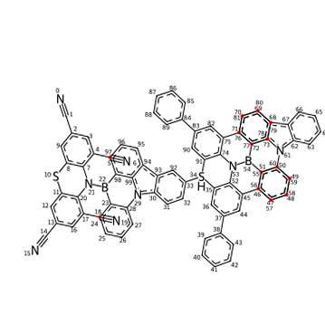 N#Cc1cc(C#N)c2c(c1)Sc1cc(C#N)cc(C#N)c1N2B1c2ccccc2-n2c3ccc([SH]4c5cc(-c6ccccc6)cc(-c6ccccc6)c5N(B5c6ccccc6-n6c7ccccc7c7cccc5c76)c5c(-c6ccccc6)cc(-c6ccccc6)cc54)cc3c3cccc1c32